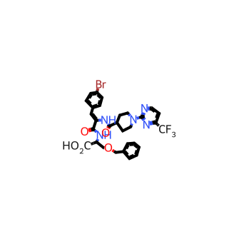 O=C(NC(COCc1ccccc1)C(=O)O)C(=Cc1ccc(Br)cc1)NC(=O)C1CCN(c2nccc(C(F)(F)F)n2)CC1